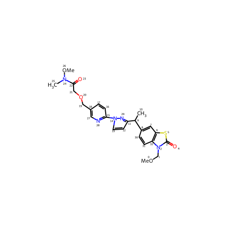 COCn1c(=O)sc2cc(C(C)c3ccn(-c4ccc(COCC(=O)N(C)OC)cn4)n3)ccc21